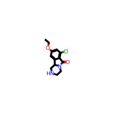 CCOc1cc(Cl)c2c(c1)C1CNCCN1C2=O